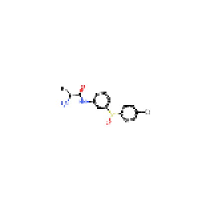 CCc1ccc([S+]([O-])c2cccc(NC(=O)C(N)CC)c2)cc1